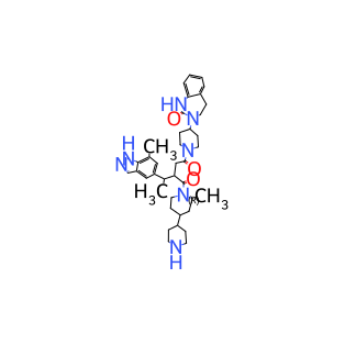 Cc1cc(C(C)C(CC(=O)N2CCC(N3CCc4ccccc4NC3=O)CC2)C(=O)N2CCC(C3CCNCC3)C[C@H]2C)cc2cn[nH]c12